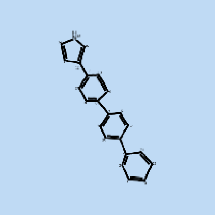 c1ccc(-c2ccc(-c3ccc(-c4cc[nH]c4)cc3)cc2)cc1